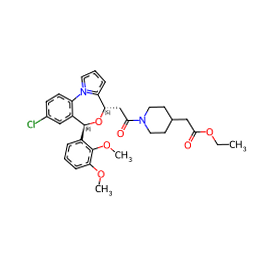 CCOC(=O)CC1CCN(C(=O)C[C@@H]2O[C@@H](c3cccc(OC)c3OC)c3cc(Cl)ccc3-n3cccc32)CC1